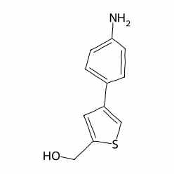 Nc1ccc(-c2csc(CO)c2)cc1